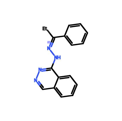 CC/C(=N/Nc1nncc2ccccc12)c1ccccc1